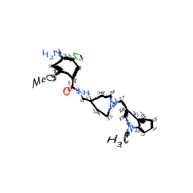 COc1cc(N)c(Cl)cc1C(=O)NCC1CCN(Cc2cn(C)c3ccccc23)CC1